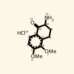 COc1ccc2c(c1OC)CCC(N)C2=O.Cl